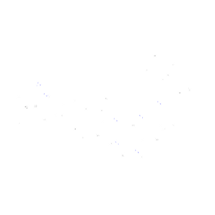 C/C=N\N1C=CC(Oc2ccc(Nc3ncnc4cc(C)c(N(CCCC)CC(C)CC)nc34)c(F)c2C)=C/C1=C\C